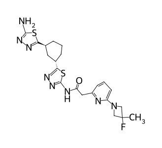 CC1(F)CN(c2cccc(CC(=O)Nc3nnc([C@H]4CCC[C@H](c5nnc(N)s5)C4)s3)n2)C1